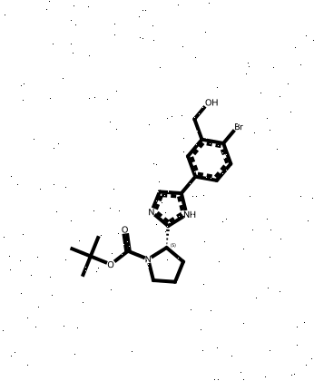 CC(C)(C)OC(=O)N1CCC[C@H]1c1ncc(-c2ccc(Br)c(CO)c2)[nH]1